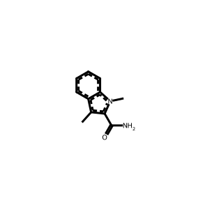 Cc1c(C(N)=O)n(C)c2ccccc12